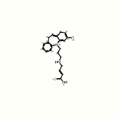 O=C(O)/C=C/CNCCCN1C2=CC(Cl)=CCC2=CCc2ccccc21